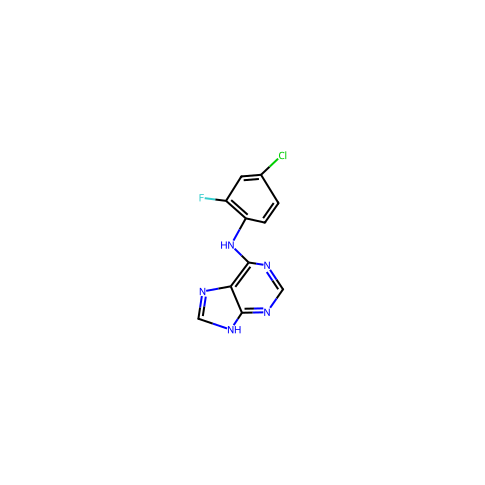 Fc1cc(Cl)ccc1Nc1ncnc2[nH]cnc12